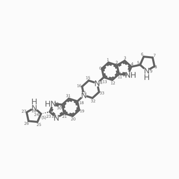 c1cc2cc(C3CCCN3)[nH]c2cc1N1CCN(c2ccc3nc([C@@H]4CCCN4)[nH]c3c2)CC1